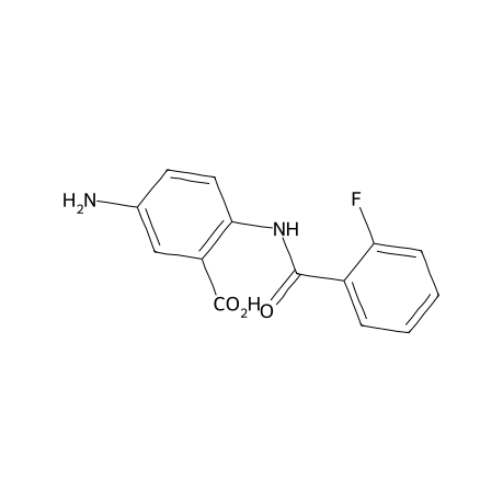 Nc1ccc(NC(=O)c2ccccc2F)c(C(=O)O)c1